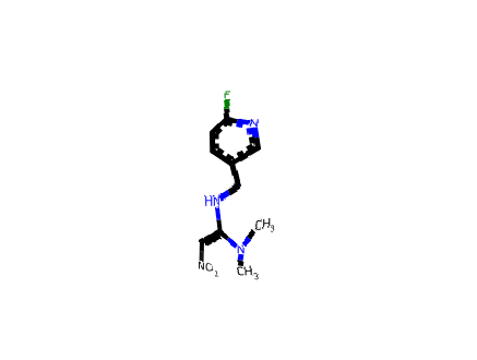 CN(C)/C(=C\[N+](=O)[O-])NCc1ccc(F)nc1